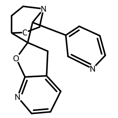 c1cncc(C2N3CCC(CC3)C23Cc2cccnc2O3)c1